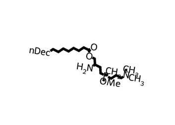 C=P(CCCN(C)C)(CCC(N)COC(=O)CCCCCCCCCCCCCCCCC)OC